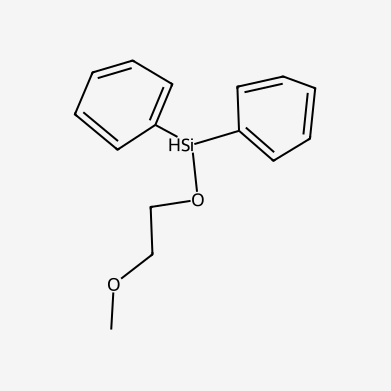 COCCO[SiH](c1ccccc1)c1ccccc1